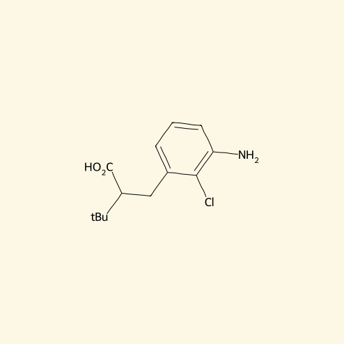 CC(C)(C)C(Cc1cccc(N)c1Cl)C(=O)O